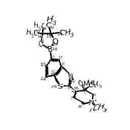 CO[C@@]1(C)CN(C)CC[C@H]1c1nc2cc(B3OC(C)(C)C(C)(C)O3)ccc2s1